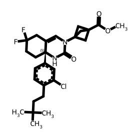 COC(=O)C12CC(N3C=C4CC(F)(F)CC[C@@]4(c4ccc(CCC(C)(C)C)c(Cl)c4)NC3=O)(C1)C2